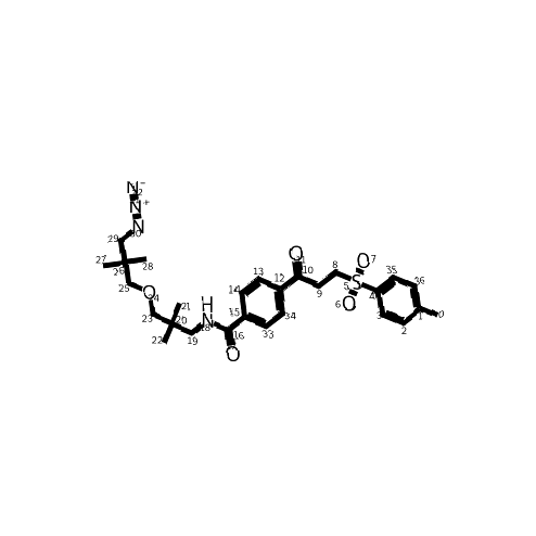 Cc1ccc(S(=O)(=O)CCC(=O)c2ccc(C(=O)NCC(C)(C)COCC(C)(C)CN=[N+]=[N-])cc2)cc1